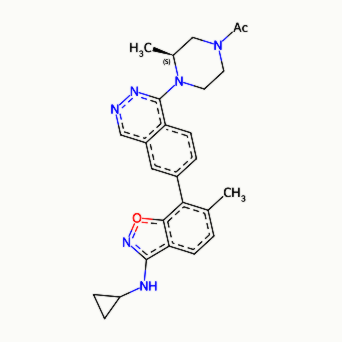 CC(=O)N1CCN(c2nncc3cc(-c4c(C)ccc5c(NC6CC6)noc45)ccc23)[C@@H](C)C1